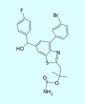 CC(C)(Cc1nc2c(-c3cccc(Br)c3)cc(C(O)c3ccc(F)cc3)cc2s1)OC(N)=O